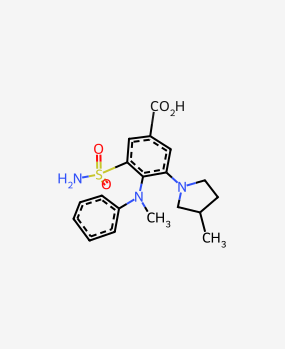 CC1CCN(c2cc(C(=O)O)cc(S(N)(=O)=O)c2N(C)c2ccccc2)C1